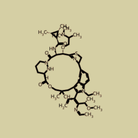 C=C/C(=C(\N=C/C)[C@H](C)OC)c1c2c3cc(ccc3n1CC)C1CSC(=N1)[C@@H](OCC(C)N(C)C)[C@H](NC(=O)[C@H]1[C@H](C)[C@@H]1C)C(=O)N1CCC[C@H](N1)C(=O)OCC(C)(C)C2